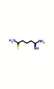 N=C(N)CCCC(N)=S